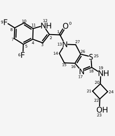 O=C(c1cc2c(F)cc(F)cc2[nH]1)N1CCc2nc(NC3CC(O)C3)sc2C1